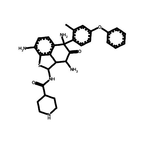 Cc1cc(Oc2ccccc2)ccc1C1(N)C(=O)C(N)C2c3c1ccc(N)c3SC2NC(=O)C1CCNCC1